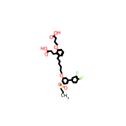 CCCS(=O)(=O)c1cc(OCCCCCCc2cccc(OCCCC(=O)O)c2CCC(=O)O)cc(-c2ccc(F)c(F)c2)c1